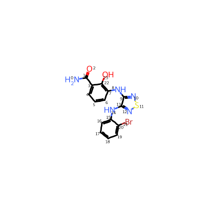 NC(=O)c1cccc(Nc2nsnc2Nc2ccccc2Br)c1O